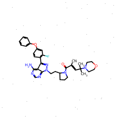 CC(C)(C=C(C#N)C(=O)N1CCCC1CCn1nc(-c2ccc(Oc3ccccc3)cc2F)c2c(N)ncnc21)N1CCOCC1